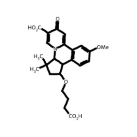 COc1ccc2c(c1)-c1cc(=O)c(C(=O)O)cn1C1C2C(OCCCC(=O)O)CC1(C)C